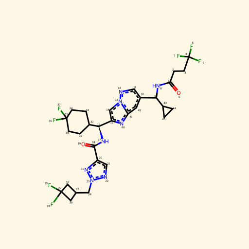 O=C(CCC(F)(F)F)NC(c1cnn2cc([C@@H](NC(=O)c3cnn(CC4CC(F)(F)C4)n3)C3CCC(F)(F)CC3)nc2c1)C1CC1